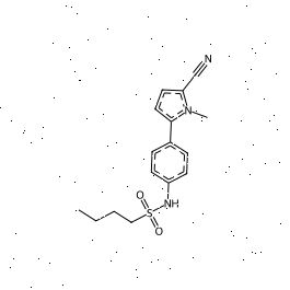 CCCCS(=O)(=O)Nc1ccc(-c2ccc(C#N)n2C)cc1